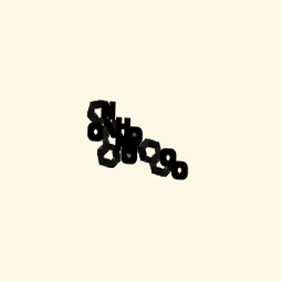 O=c1ccc2cc(S(=O)(=O)Nc3ccccc3-c3nc4ncccc4o3)ccc2o1